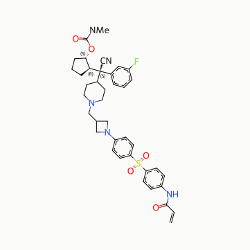 C=CC(=O)Nc1ccc(S(=O)(=O)c2ccc(N3CC(CN4CCC([C@@](C#N)(c5cccc(F)c5)[C@H]5CCC[C@@H]5OC(=O)NC)CC4)C3)cc2)cc1